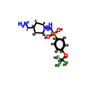 NCC1CCN(NS(=O)(=O)c2ccc(OC(F)(F)F)cc2)CC1